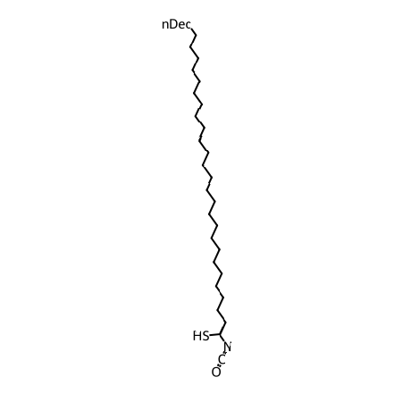 CCCCCCCCCCCCCCCCCCCCCCCCCCCCCCCCCCCC(S)N=C=O